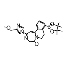 COCc1cn(C2=NCC(=O)N3CCc4c(B5OC(C)(C)C(C)(C)O5)cccc4C3=C2)cn1